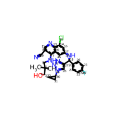 CC(C)(CO)CNc1c(C#N)cnc2c(Cl)cc(NC(c3ccc(F)cc3)c3cn(C4CC4)nn3)cc12